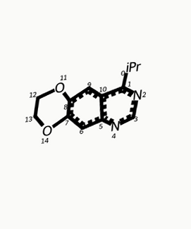 CC(C)c1ncnc2cc3c(cc12)OCCO3